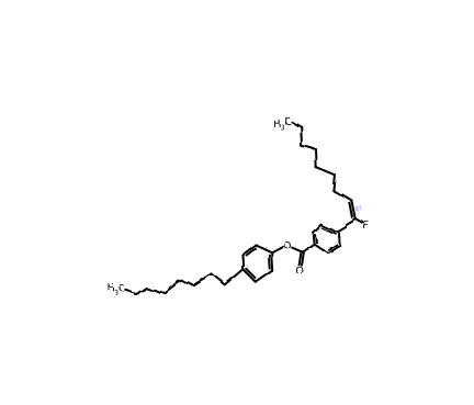 CCCCCCC/C=C(/F)c1ccc(C(=O)Oc2ccc(CCCCCCCC)cc2)cc1